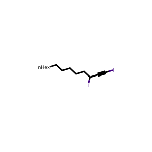 CCCCCCCCCCCC(I)C#CI